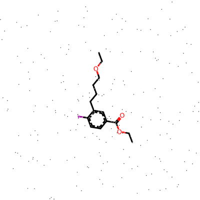 CCOCCCCc1cc(C(=O)OCC)ccc1I